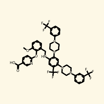 COc1cccc(CNc2cc(C(F)(F)F)c(N3CCN(c4cccc(C(F)(F)F)c4)CC3)cc2N2CCN(c3cccc(C(F)(F)F)c3)CC2)c1Oc1ccc(C(=O)O)cn1